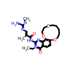 C=N/C(N)=N\C=C(/C)C(=O)Nc1nc2c3c(ccc2c(=O)n1CC)OCCCCCCCCO3